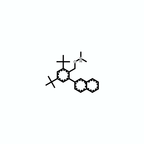 C[SiH](C)OCc1c(-c2ccc3ccccc3c2)cc(C(C)(C)C)cc1C(C)(C)C